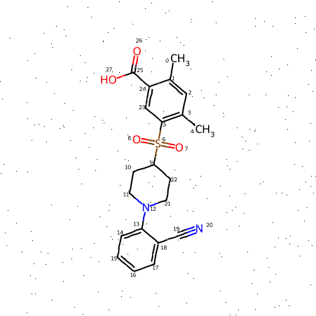 Cc1cc(C)c(S(=O)(=O)C2CCN(c3ccccc3C#N)CC2)cc1C(=O)O